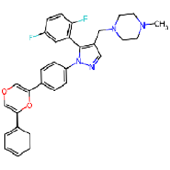 CN1CCN(Cc2cnn(-c3ccc(C4=COC=C(C5=CC=CCC5)O4)cc3)c2-c2cc(F)ccc2F)CC1